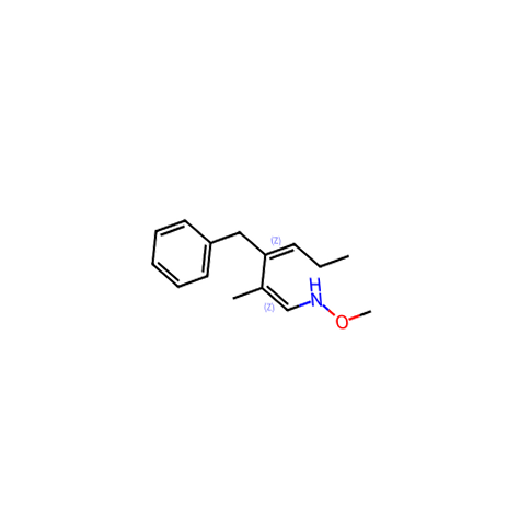 CC/C=C(Cc1ccccc1)\C(C)=C/NOC